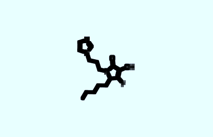 CCCCCC1C(F)=C(O)C(=O)N1CCCn1ccnc1